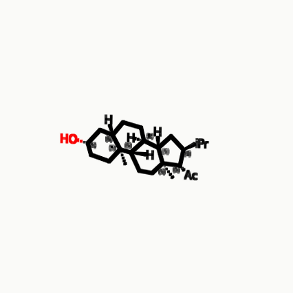 CC(=O)[C@H]1[C@H](C(C)C)C[C@H]2[C@@H]3CC[C@H]4C[C@@H](O)CC[C@]4(C)[C@H]3CC[C@@]21C